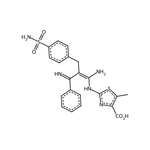 Cc1sc(N/C(N)=C(/Cc2ccc(S(N)(=O)=O)cc2)C(=N)c2ccccc2)nc1C(=O)O